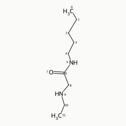 CCCCCNC(=O)CNCC